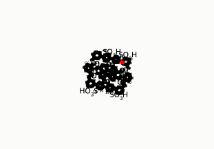 O=C1c2cc(Oc3ccc(S(=O)(=O)O)cc3)c3c4c(Oc5ccc(S(=O)(=O)O)cc5)cc5c6c(cc(Oc7ccc(S(=O)(=O)O)cc7)c(c7c(Oc8ccc(S(=O)(=O)O)cc8)cc(c2c37)C(=O)N1c1c(OCC2CCCCC2)cccc1OCC1CCCCC1)c64)C(=O)N(c1c(OCC2CCCCC2)cccc1OCC1CCCCC1)C5=O